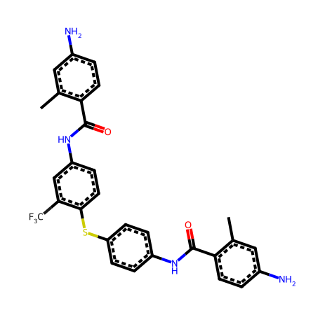 Cc1cc(N)ccc1C(=O)Nc1ccc(Sc2ccc(NC(=O)c3ccc(N)cc3C)cc2C(F)(F)F)cc1